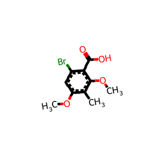 COc1cc(Br)c(C(=O)O)c(OC)c1C